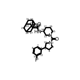 O=C(N1CCC(c2cccc(F)c2)C1)N1CCC[C@H](NC(=O)C23CC4CC(C2)C(O)C(C4)C3)C1